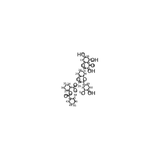 COc1cc(C2Oc3cc([C@@H]4Oc5cc(O)cc(O)c5C(=O)C4O)ccc3O[C@H]2COC(=O)c2ccccc2OC(=O)c2ccccc2C)ccc1O